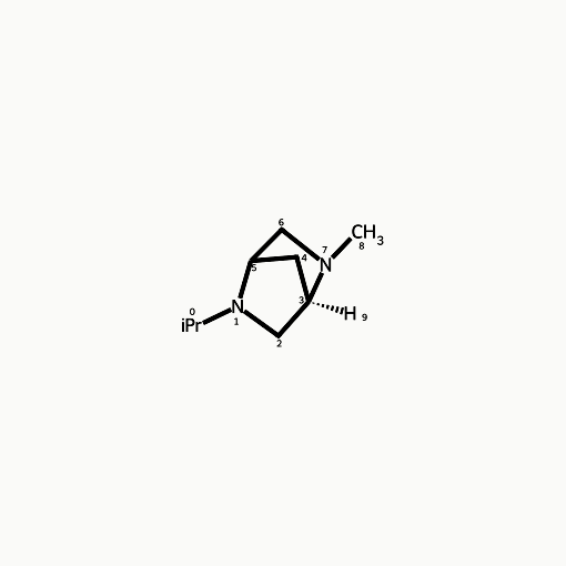 CC(C)N1C[C@H]2CC1CN2C